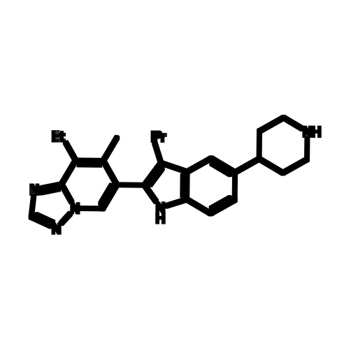 CCc1c(C)c(-c2[nH]c3ccc(C4CCNCC4)cc3c2C(C)C)cn2ncnc12